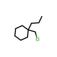 CCCC1(CCl)CCCCC1